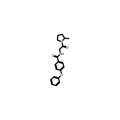 CC1CCCN1C(=O)CNC(=O)c1ccc(Oc2ccccc2)cc1